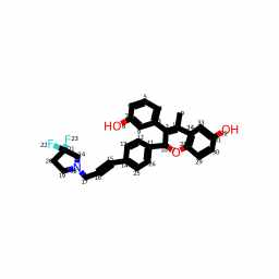 CC1=C(c2cccc(O)c2)C(c2ccc(C#CCN3CCC(F)(F)C3)cc2)Oc2ccc(O)cc21